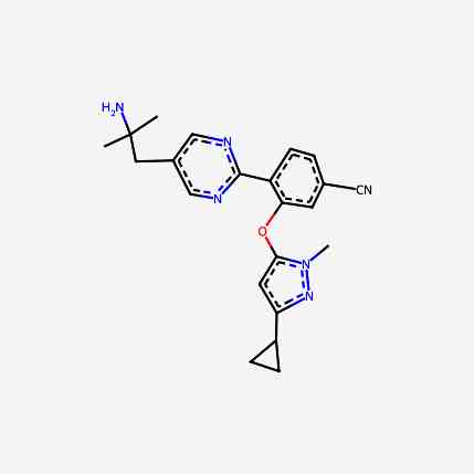 Cn1nc(C2CC2)cc1Oc1cc(C#N)ccc1-c1ncc(CC(C)(C)N)cn1